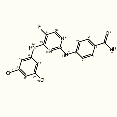 NC(=O)c1ccc(Nc2ncc(F)c(Nc3cc(Cl)cc(Cl)c3)n2)cc1